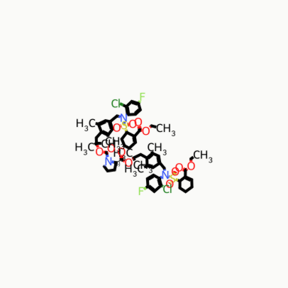 CCOC(=O)C1=CCCCC1S(=O)(=O)N(Cc1cc(C)c(CC(C)(C)OC(=O)[C@@H]2CCCN2C(=O)OC(C)(C)Cc2c(C)cc(CN(c3ccc(F)cc3Cl)S(=O)(=O)C3CCCC=C3C(=O)OCC)cc2C)c(C)c1)c1ccc(F)cc1Cl